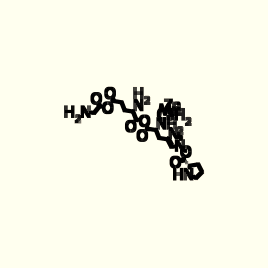 NCC(=O)OC(=O)CC[C@H](N)C(=O)OC(=O)[C@@H](N)Cc1cn(OC(=O)[C@@H]2CCCN2)cn1.[CaH2].[Mn].[Zn]